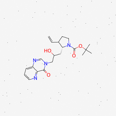 C=CC1CCN(C(=O)OC(C)(C)C)[C@@H]1CC(O)Cn1cnc2cccnc2c1=O